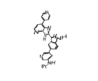 CC(C)Nc1cncc(-c2ccc3[nH]nc(-c4nc5c(-c6ccncc6)ccnc5[nH]4)c3c2)c1